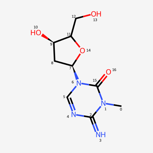 Cn1c(=N)ncn([C@H]2C[C@@H](O)C(CO)O2)c1=O